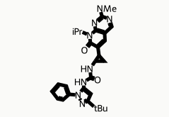 CNc1ncc2cc(C3CC3NC(=O)Nc3cc(C(C)(C)C)nn3-c3ccccc3)c(=O)n(C(C)C)c2n1